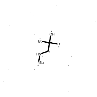 CCCCNCC(O)(CC)CC